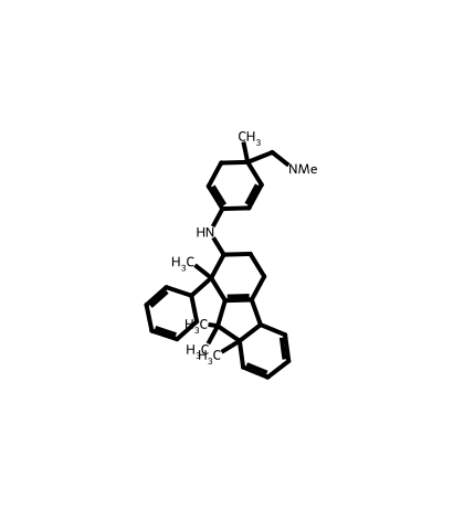 CNCC1(C)C=CC(NC2CCC3=C(C2(C)C2C=CC=CC2)C(C)(C)C2(C)C=CC=CC32)=CC1